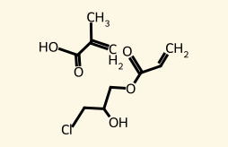 C=C(C)C(=O)O.C=CC(=O)OCC(O)CCl